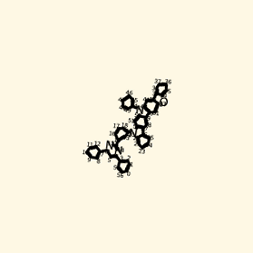 c1ccc(-c2cc(-c3ccccc3)nc(-c3cccc(-n4c5ccccc5c5cc6c7cc8oc9ccccc9c8cc7n(-c7ccccc7)c6cc54)c3)n2)cc1